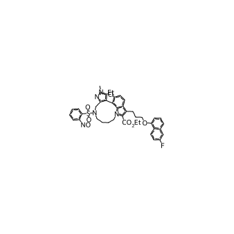 CCOC(=O)c1c(CCCOc2cccc3cc(F)ccc23)c2ccc(Cl)c3c2n1CCCCN(S(=O)(=O)c1ccccc1N=O)Cc1nn(C)c(CC)c1-3